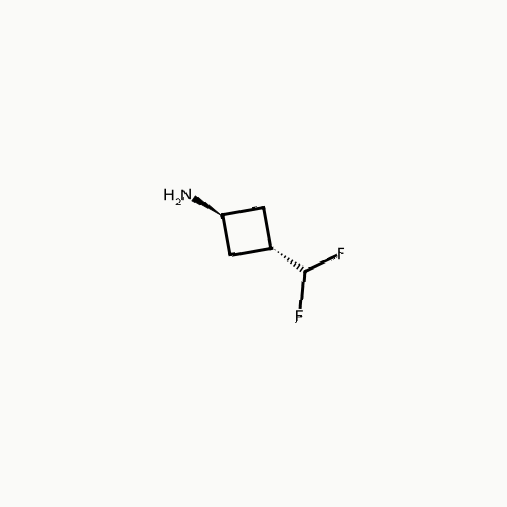 N[C@H]1C[C@H](C(F)F)C1